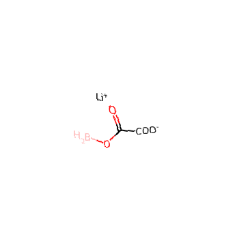 BOC(=O)C(=O)[O-].[Li+]